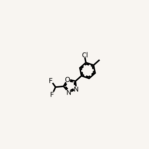 Cc1ccc(-c2nnc(C(F)F)o2)cc1Cl